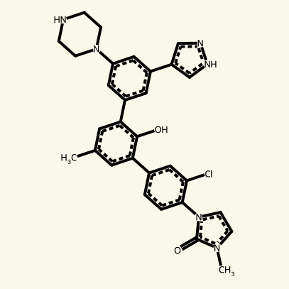 Cc1cc(-c2cc(-c3cn[nH]c3)cc(N3CCNCC3)c2)c(O)c(-c2ccc(-n3ccn(C)c3=O)c(Cl)c2)c1